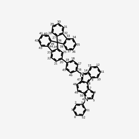 c1ccc(-n2ccc3c4c5ccccc5n(-c5ccc(-c6ccc7c(c6)C6(c8ccccc8-c8ccccc86)c6ccccc6-7)cc5)c4ccc32)cc1